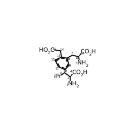 CC(C)C[C@H](N)C(=O)O.N[C@@H](Cc1ccccc1CC(=O)O)C(=O)O